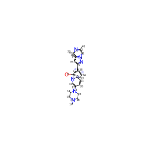 Cc1cn2nc(C3=C\C(=O)N4C=C(N5CCN(C)CC5)C=C\C4=C/C=C/3)cc2c(C)n1